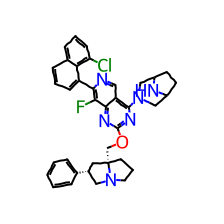 Fc1c(-c2cccc3cccc(Cl)c23)ncc2c(N3CC4CCC(C3)N4)nc(OC[C@]34CCCN3C[C@H](c3ccccc3)C4)nc12